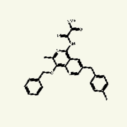 CNC(=O)C(=O)Nc1nc(C)c(OCc2ccccc2)c2ncc(Cc3ccc(F)cc3)cc12